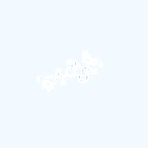 CCN(CC)C(=O)N[C@H]1CC2c3cccc4[nH]c(C(C)C)c(c34)C[C@H]2N(C)C1